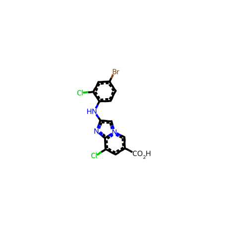 O=C(O)c1cc(Cl)c2nc(Nc3ccc(Br)cc3Cl)cn2c1